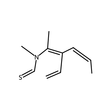 C=CC(/C=C\C)=C(/C)N(C)C=S